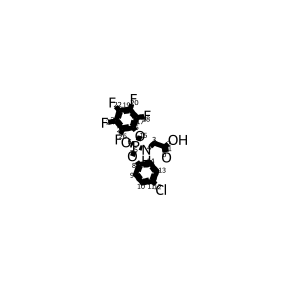 O=C(O)CNP(=O)(Oc1ccc(Cl)cc1)Oc1c(F)c(F)c(F)c(F)c1F